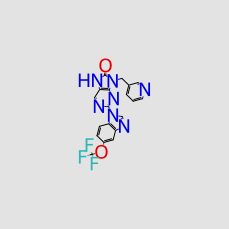 O=c1[nH]c2cnc(-n3cnc4cc(OC(F)(F)F)ccc43)nc2n1Cc1cccnc1